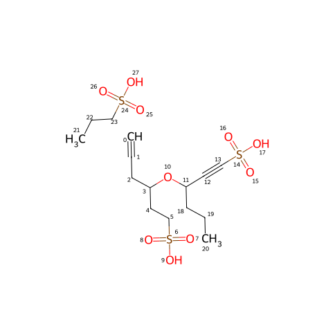 C#CCC(CCS(=O)(=O)O)OC(C#CS(=O)(=O)O)CCC.CCCS(=O)(=O)O